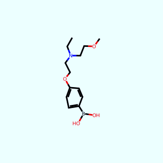 CCN(CCOC)CCOc1ccc(B(O)O)cc1